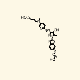 Cc1c(C#N)c(N=Nc2ccc(N(C)CCCS(=O)(=O)O)cn2)nn1-c1nc2ccc(SOOO)cc2s1